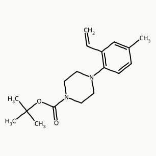 C=Cc1cc(C)ccc1N1CCN(C(=O)OC(C)(C)C)CC1